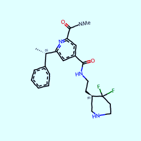 CNC(=O)c1cc(C(=O)NCC[C@@H]2CNCCC2(F)F)cc([C@@H](C)c2ccccc2)n1